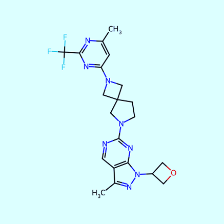 Cc1cc(N2CC3(CCN(c4ncc5c(C)nn(C6COC6)c5n4)C3)C2)nc(C(F)(F)F)n1